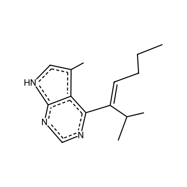 CCC/C=C(/c1ncnc2[nH]cc(C)c12)C(C)C